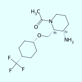 CC(=O)N1CCC[C@H](N)[C@@H]1CO[C@H]1CC[C@@H](C(F)(F)F)CC1